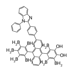 Bc1c(B)c(B)c(-c2c3ccccc3c(-c3c(B)c(B)c(O)c(O)c3B)c3ccc(-c4ccc(-c5nc6ccccc6n5-c5ccccc5)cc4)cc23)c(B)c1B